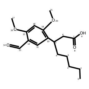 CCCCCC(CC(=O)O)c1cc(C=O)c(OC)cc1OC